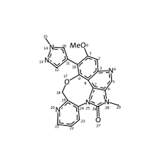 COc1cc2ncc3c4c2c(c1-c1cnn(C)c1)OCc1ncccc1-n4c(=O)n3C